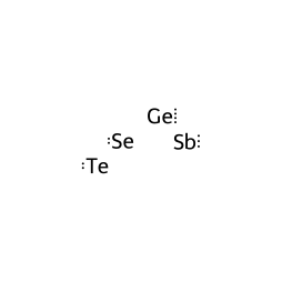 [Ge].[Sb].[Se].[Te]